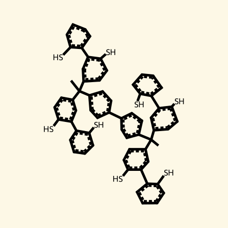 CC(c1ccc(-c2ccc(C(C)(c3ccc(S)c(-c4ccccc4S)c3)c3ccc(S)c(-c4ccccc4S)c3)cc2)cc1)(c1ccc(S)c(-c2ccccc2S)c1)c1ccc(S)c(-c2ccccc2S)c1